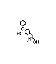 Cl.N[C@H](CO)Cc1ccc(Oc2ccccc2)cc1